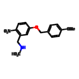 COc1ccc(COc2ccc([N+](=O)[O-])c(CNC(=O)O)c2)cc1